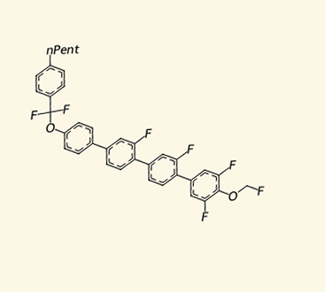 CCCCCc1ccc(C(F)(F)Oc2ccc(-c3ccc(-c4ccc(-c5cc(F)c(OCF)c(F)c5)c(F)c4)c(F)c3)cc2)cc1